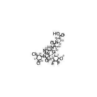 COc1ccc(C(F)C2(C)C(=O)N(c3cc(Cl)cc(Cl)c3)c3ncc(C(=O)NC4(C(=O)N5CCC(C(=O)O)C5)CC4)n32)c(F)c1F